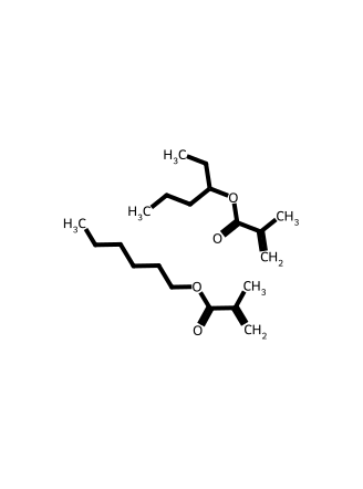 C=C(C)C(=O)OC(CC)CCC.C=C(C)C(=O)OCCCCCC